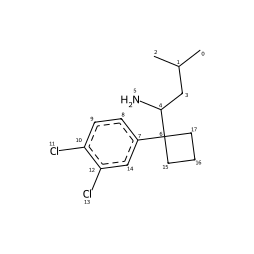 CC(C)CC(N)C1(c2ccc(Cl)c(Cl)c2)CCC1